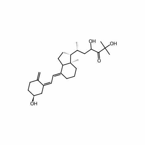 C=C1CC[C@H](O)C/C1=C/C=C1CCC[C@@]2(C)C1CC[C@@H]2[C@H](C)CC(O)C(=O)C(C)(C)O